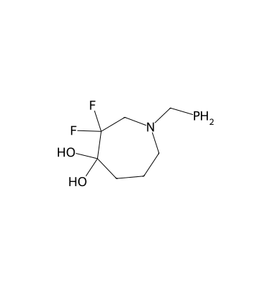 OC1(O)CCCN(CP)CC1(F)F